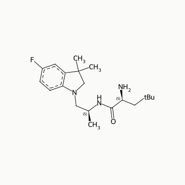 C[C@@H](CN1CC(C)(C)c2cc(F)ccc21)NC(=O)[C@@H](N)CC(C)(C)C